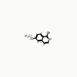 COc1ccc2c(Br)nccc2c1